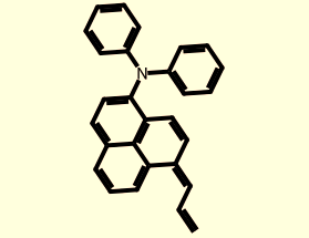 C=C/C=c1/ccc2c(N(c3ccccc3)c3ccccc3)ccc3cccc1c32